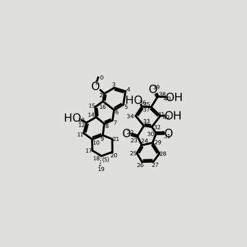 COc1cccc2cc3c4c(cc(O)c3cc12)C[C@@H](C)CC4.O=C1c2ccccc2C(=O)c2c1cc(O)c(C(=O)O)c2O